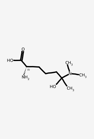 CN(C)C(C)(O)CCC[C@H](N)C(=O)O